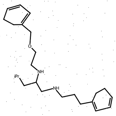 CC(C)CC(CNCCCC1=CC=CCC1)NCCOCC1=CC=CCC1